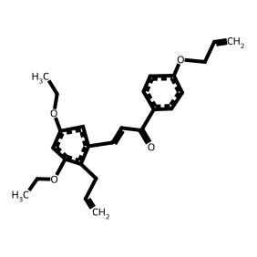 C=CCOc1ccc(C(=O)C=Cc2cc(OCC)cc(OCC)c2CC=C)cc1